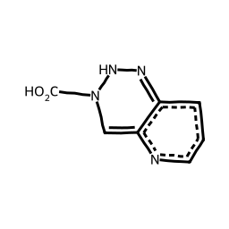 O=C(O)N1C=c2ncccc2=NN1